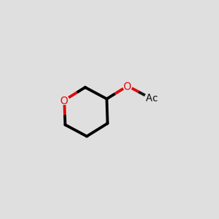 CC(=O)OC1CCCOC1